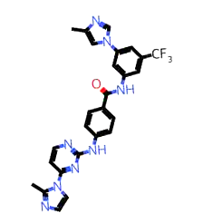 Cc1cn(-c2cc(NC(=O)c3ccc(Nc4nccc(-n5ccnc5C)n4)cc3)cc(C(F)(F)F)c2)cn1